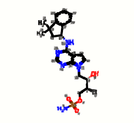 CC[C@@H](COS(N)(=O)=O)[C@@H](O)Cn1ccc2c(N[C@@H]3CC(C)(C)c4ccccc43)ncnc21